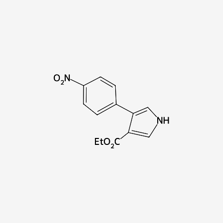 CCOC(=O)c1c[nH]cc1-c1ccc([N+](=O)[O-])cc1